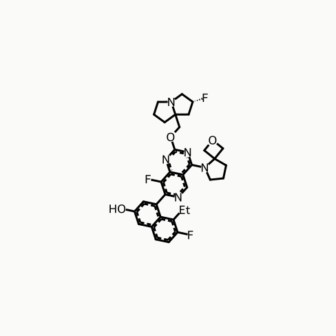 CCc1c(F)ccc2cc(O)cc(-c3ncc4c(N5CCCC56COC6)nc(OCC56CCCN5C[C@H](F)C6)nc4c3F)c12